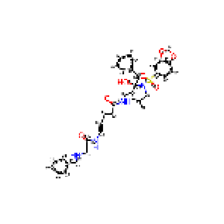 CC(C)CN(C(O)(CCNC(=O)CCC#CNC(=O)CNCc1ccccc1)Cc1ccccc1)S(=O)(=O)c1ccc2c(c1)OCO2